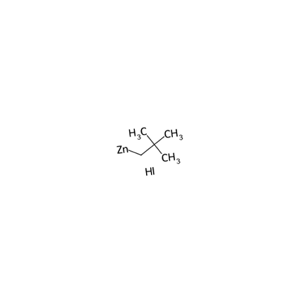 CC(C)(C)[CH2][Zn].I